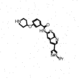 CC(C)n1cc(-c2cnc3cnc(NC(=O)c4cccc(OC5CCNCC5)c4)cc3c2)cn1